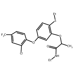 CCNC(=O)C(C)Oc1cc(Oc2ccc(C(F)(F)F)cc2Cl)ccc1SCC